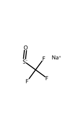 O=[S-]C(F)(F)F.[Na+]